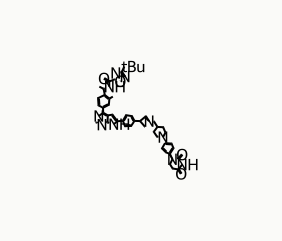 Cc1cc(-c2ncnc3[nH]c(-c4ccc(C5CN(CC6CCN(c7ccc(N8CCC(=O)NC8=O)cc7)CC6)C5)cc4)cc23)ccc1C(C)NC(=O)c1nc(C(C)(C)C)no1